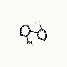 Oc1ccccc1-c1ccccc1P